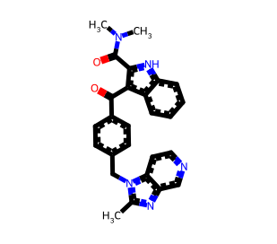 Cc1nc2cnccc2n1Cc1ccc(C(=O)c2c(C(=O)N(C)C)[nH]c3ccccc23)cc1